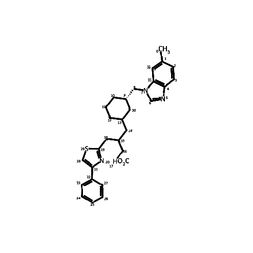 Cc1ccc2ncn(C[C@H]3CCCC(CC(CC(=O)O)Cc4nc(-c5ccccc5)cs4)C3)c2c1